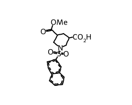 COC(=O)C1CC(C(=O)O)CN(S(=O)(=O)c2ccc3ccccc3c2)C1